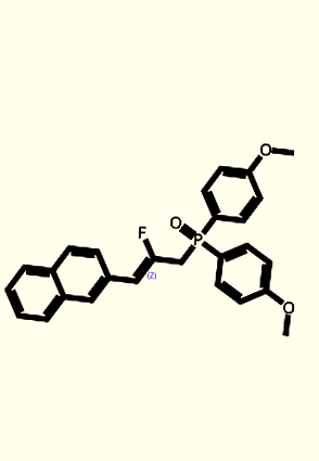 COc1ccc(P(=O)(C/C(F)=C/c2ccc3ccccc3c2)c2ccc(OC)cc2)cc1